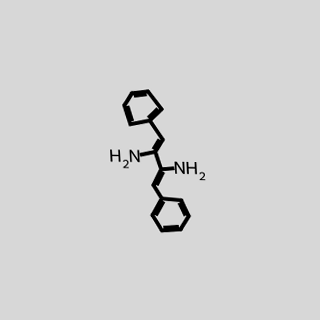 NC(=Cc1ccccc1)C(N)=Cc1ccccc1